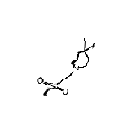 CC1(I)CCN(CCS(C)(=O)=O)CC1